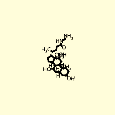 CC(CCC(=O)NCN)[C@H]1CC[C@H]2[C@@H]3[C@H](O)C[C@@H]4C[C@H](O)CC[C@]4(C)[C@H]3C[C@H](O)[C@]12C